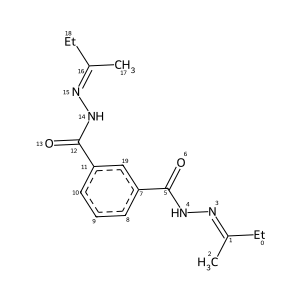 CCC(C)=NNC(=O)c1cccc(C(=O)NN=C(C)CC)c1